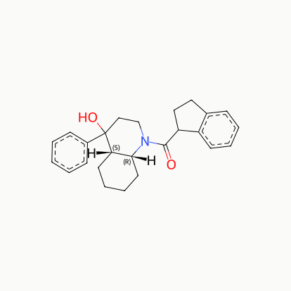 O=C(C1CCc2ccccc21)N1CCC(O)(c2ccccc2)[C@H]2CCCC[C@H]21